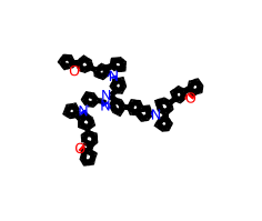 c1cc(-c2nc(-c3cccc(-n4c5ccccc5c5cc(-c6ccc7c(c6)oc6ccccc67)ccc54)c3)c3cc(-c4ccc5cc(-n6c7ccccc7c7cc(-c8ccc9c(c8)oc8ccccc89)ccc76)ccc5c4)ccc3n2)cc(-n2c3ccccc3c3cc(-c4ccc5c(c4)oc4ccccc45)ccc32)c1